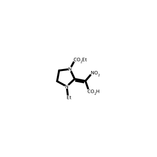 CCOC(=O)N1CCN(CC)C1=C(C(=O)O)[N+](=O)[O-]